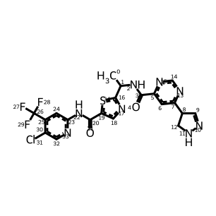 CC(NC(=O)c1cc(C2C=NNC2)ncn1)c1ncc(C(=O)Nc2cc(C(F)(F)F)c(Cl)cn2)s1